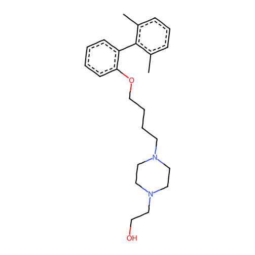 Cc1cccc(C)c1-c1ccccc1OCCCCN1CCN(CCO)CC1